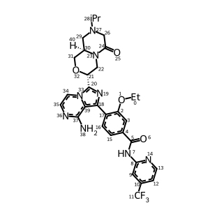 CCOc1cc(C(=O)Nc2cc(C(F)(F)F)ccn2)ccc1-c1nc([C@H]2CN3C(=O)CN(C(C)C)C[C@@H]3CO2)n2ccnc(N)c12